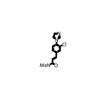 CNC(=O)/C=C/c1ccc(-n2ccnc2)c(Cl)c1